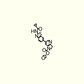 O=C(Nc1nc2ccc(-c3cnc4c(c3)N(C(=O)OC3COC3)CC4)cc2s1)C1CC1